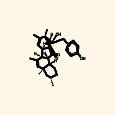 CC1=C[C@]2(C)[C@@H]3C(C)=C[C@]4(C)C[C@@H](C)CC[C@H]4[C@@H]3C(=O)[C@@]23C(=O)N[C@@](O)(Cc2ccc(O)cc2)[C@@H]3[C@@H]1C